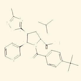 Cc1noc([C@H]2C[C@@](CC(C)C)(C(=O)O)N(C(=O)c3ccc(C(C)(C)C)cc3)[C@H]2c2cccnc2)n1